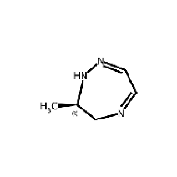 C[C@@H]1CN=CC=NN1